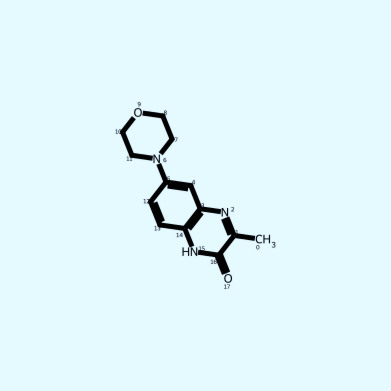 Cc1nc2cc(N3CCOCC3)ccc2[nH]c1=O